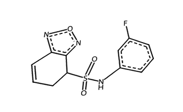 O=S(=O)(Nc1cccc(F)c1)C1CC=Cc2nonc21